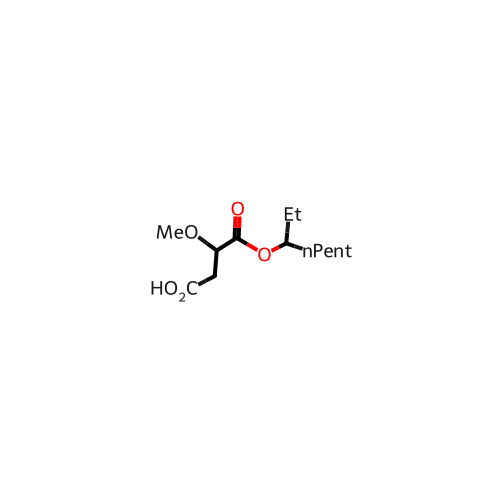 CCCCCC(CC)OC(=O)C(CC(=O)O)OC